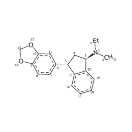 CCN(C)[C@@H]1C[C@@H](c2ccc3c(c2)OCO3)c2ccccc21